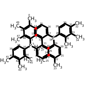 Cc1ccc(P(c2ccccc2-c2ccccc2P(c2ccc(C)c(C)c2C)c2ccc(C)c(C)c2C)c2ccc(C)c(C)c2C)c(C)c1C